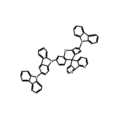 c1cnc2c(c1)C1(c3ccc(-n4c5ccccc5c5ccccc54)cc3Oc3cc(-n4c5ccccc5c5cc(-n6c7ccccc7c7ccccc76)ccc54)ccc31)c1cccnc1-2